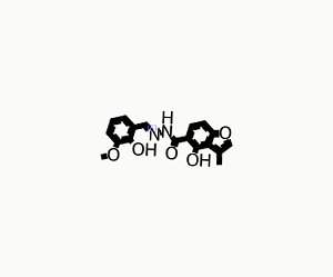 COc1cccc(/C=N/NC(=O)c2ccc3occ(C)c3c2O)c1O